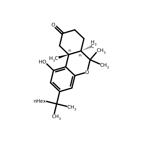 CCCCCCC(C)(C)c1cc(O)c2c(c1)OC(C)(C)[C@]1(C)CCC(=O)C[C@@]21C